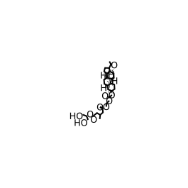 CC(=O)C1CC[C@H]2[C@@H]3CC[C@H]4C[C@H](OC(=O)OCOC(=O)CC(C)CC(=O)OC(CO)CO)CC[C@]4(C)[C@H]3CC[C@]12C